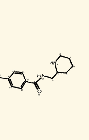 O=C(NCC1CCCCN1)c1ccc(Cl)cc1